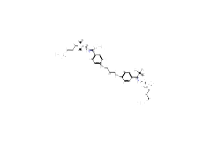 CCCCS(=O)(=O)O/N=C(/c1ccc(OCCCOc2ccc(/C(C)=N/OS(=O)(=O)CCCC)cc2)cc1)C(F)(F)F